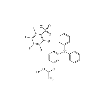 CCOC(C)Oc1cccc([S+](c2ccccc2)c2ccccc2)c1.O=S(=O)([O-])c1c(F)c(F)c(F)c(F)c1F